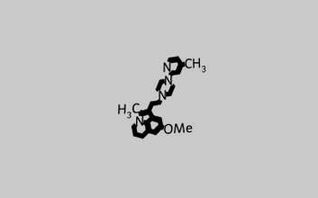 COc1cc2c3c(c1)c(CCN1CCN(c4cc(C)ccn4)CC1)c(C)n3CCC2